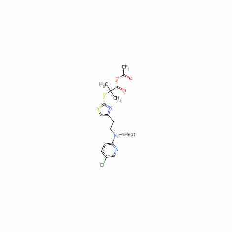 CCCCCCCN(CCc1csc(SC(C)(C)C(=O)OC(=O)C(F)(F)F)n1)c1ccc(Cl)cn1